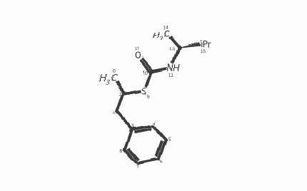 CC(Cc1ccccc1)SC(=O)N[C@@H](C)C(C)C